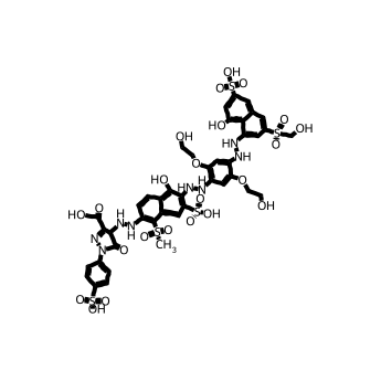 CS(=O)(=O)c1c(NNC2C(=O)N(c3ccc(S(=O)(=O)O)cc3)N=C2C(=O)O)ccc2c(O)c(NNc3cc(OCCO)c(NNc4cc(S(=O)(=O)CO)cc5cc(S(=O)(=O)O)cc(O)c45)cc3OCCO)c(S(=O)(=O)O)cc12